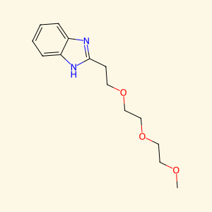 COCCOCCOCCc1nc2ccccc2[nH]1